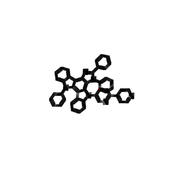 c1ccc(-c2nc3c4c5ccccc5n(-c5ccccc5)c4c4c5ccccc5n(-c5ccc(-c6ccncc6)nc5)c4c3n2-c2ccccc2)cc1